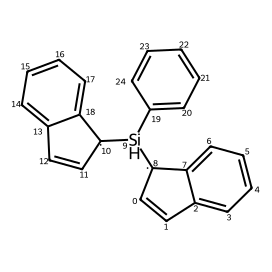 C1=Cc2ccccc2[C]1[SiH]([C]1C=Cc2ccccc21)c1ccccc1